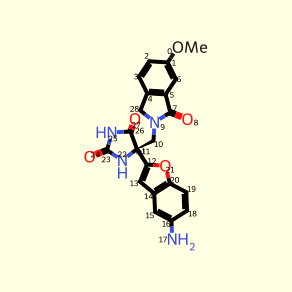 COc1ccc2c(c1)C(=O)N(C[C@@]1(c3cc4cc(N)ccc4o3)NC(=O)NC1=O)C2